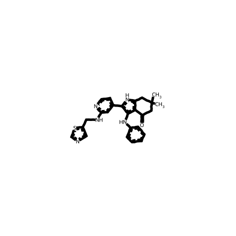 CC1(C)CC(=O)c2c([nH]c(-c3ccnc(NCc4cncs4)c3)c2Nc2ccccc2)C1